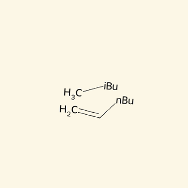 C=CCCCC.CCC(C)C